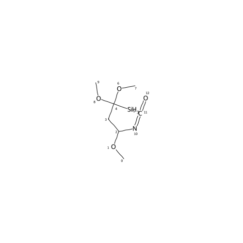 COC(CC([SiH3])(OC)OC)N=C=O